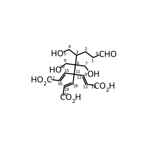 O=CCCC(CO)C(CO)(CO)C(C=CC(=O)O)(C=CC(=O)O)C=CC(=O)O